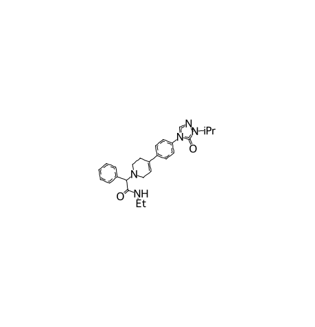 CCNC(=O)C(c1ccccc1)N1CC=C(c2ccc(-n3cnn(C(C)C)c3=O)cc2)CC1